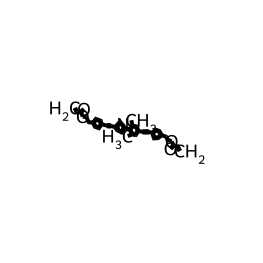 C=CC(=O)OCCc1ccc(C#Cc2ccc(-c3c(C)cc(C#Cc4ccc(CCOC(=O)C=C)cc4)cc3C)nc2)cc1